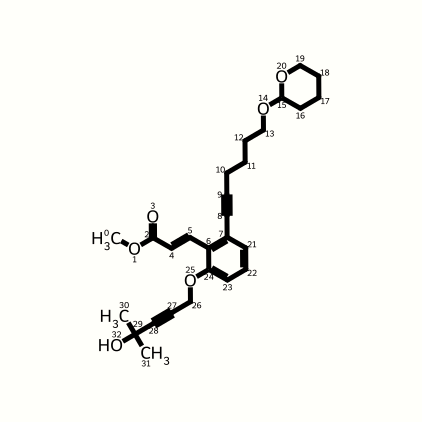 COC(=O)C=Cc1c(C#CCCCCOC2CCCCO2)cccc1OCC#CC(C)(C)O